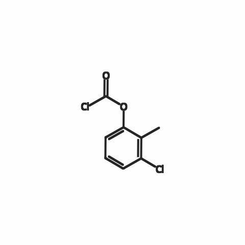 Cc1c(Cl)cccc1OC(=O)Cl